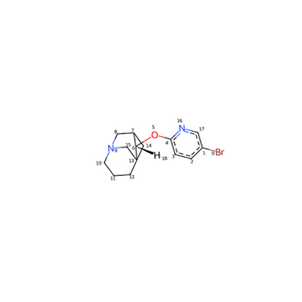 Brc1ccc(O[C@H]2C3CN4CCCC2(C3)C4)nc1